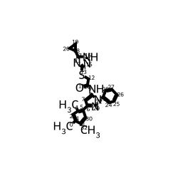 Cc1cc(C)c(-c2cc(NC(=O)CSc3n[nH]c(C4CC4)n3)n(-c3ccccc3)n2)cc1C